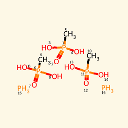 CP(=O)(O)O.CP(=O)(O)O.CP(=O)(O)O.P.P